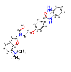 CN(C)c1cccc2cc(N(C=O)CCOc3ccc(C(=O)Nc4ccccc4N)cc3)oc12